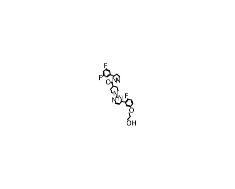 O=C(C1CCN(c2nccc(-c3cc(OCCCO)ccc3F)n2)CC1)N1N=CCC1c1cc(F)cc(F)c1